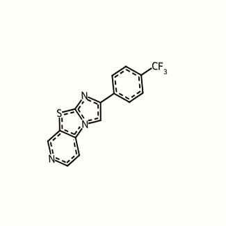 FC(F)(F)c1ccc(-c2cn3c(n2)sc2cnccc23)cc1